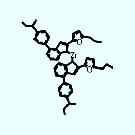 CCCc1ccc(C2=Cc3c(-c4ccc(C(C)CC)cc4)cccc3[CH]2[Zr][CH]2C(c3ccc(CCC)o3)=Cc3c(-c4ccc(C(C)CC)cc4)cccc32)o1